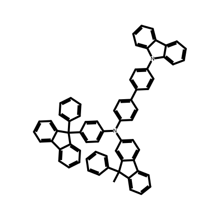 CC1(c2ccccc2)c2ccccc2-c2ccc(N(c3ccc(-c4ccc(-n5c6ccccc6c6ccccc65)cc4)cc3)c3ccc(C4(c5ccccc5)c5ccccc5-c5ccccc54)cc3)cc21